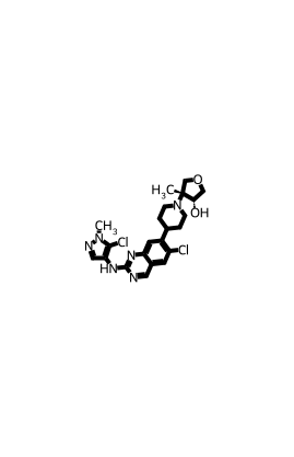 Cn1ncc(Nc2ncc3cc(Cl)c(C4CCN([C@]5(C)COC[C@@H]5O)CC4)cc3n2)c1Cl